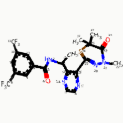 CC(NC(=O)c1cc(C(F)(F)F)cc(C(F)(F)F)c1)c1nccnc1C1=NN(C)C(=O)C(C)(C)S1